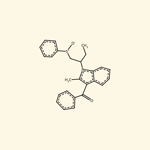 CCC(C[S+]([O-])c1ccccc1)n1c(C)c(C(=O)c2ccccc2)c2ccccc21